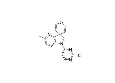 Cc1ccc2c(n1)C1(C=COC=C1)CN2c1ccnc(Cl)n1